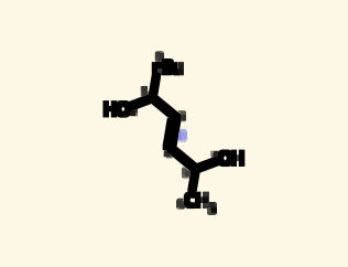 CCCCC(O)/C=C/C(C)O